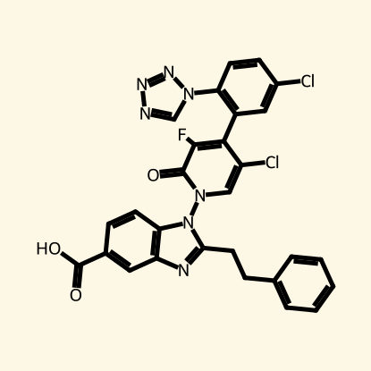 O=C(O)c1ccc2c(c1)nc(CCc1ccccc1)n2-n1cc(Cl)c(-c2cc(Cl)ccc2-n2cnnn2)c(F)c1=O